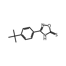 CC(C)(C)c1ccc(-c2noc(=S)[nH]2)cc1